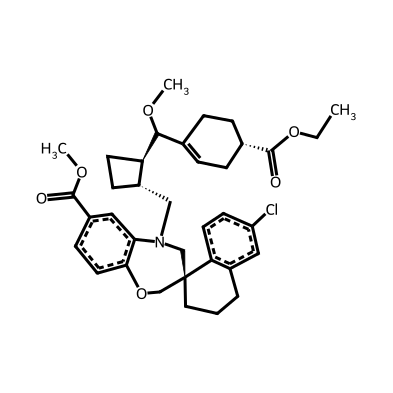 CCOC(=O)[C@@H]1CC=C(C(OC)[C@@H]2CC[C@H]2CN2C[C@@]3(CCCc4cc(Cl)ccc43)COc3ccc(C(=O)OC)cc32)CC1